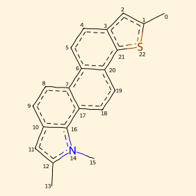 Cc1cc2ccc3c4ccc5cc(C)n(C)c5c4ccc3c2s1